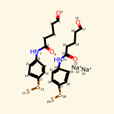 O=CCCCC(=O)Nc1ccc(S[S-])cc1.O=CCCCC(=O)Nc1ccc(S[S-])cc1.[Na+].[Na+]